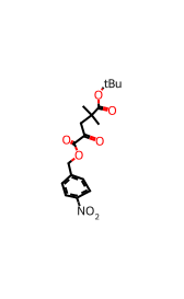 CC(C)(C)OC(=O)C(C)(C)CC(=O)C(=O)OCc1ccc([N+](=O)[O-])cc1